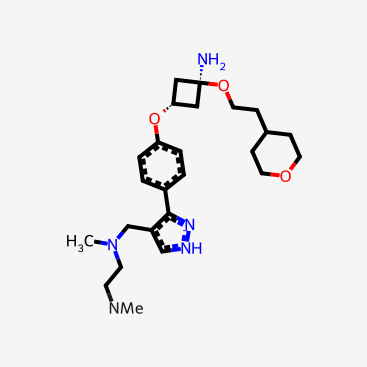 CNCCN(C)Cc1c[nH]nc1-c1ccc(O[C@H]2C[C@](N)(OCCC3CCOCC3)C2)cc1